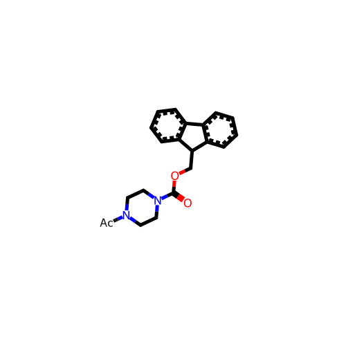 CC(=O)N1CCN(C(=O)OCC2c3ccccc3-c3ccccc32)CC1